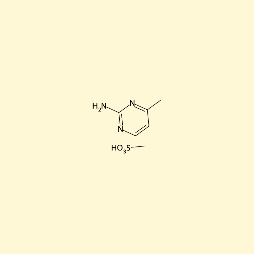 CS(=O)(=O)O.Cc1ccnc(N)n1